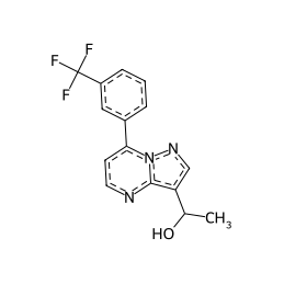 CC(O)c1cnn2c(-c3cccc(C(F)(F)F)c3)ccnc12